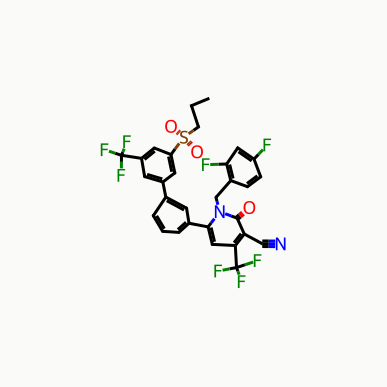 CCCS(=O)(=O)c1cc(-c2cccc(-c3cc(C(F)(F)F)c(C#N)c(=O)n3Cc3ccc(F)cc3F)c2)cc(C(F)(F)F)c1